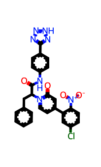 O=C(Nc1ccc(-c2nn[nH]n2)cc1)C(Cc1ccccc1)n1ccc(-c2cc(Cl)ccc2[N+](=O)[O-])cc1=O